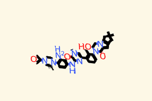 C[C@H]1CN(C2COC2)CCN1c1ccc(Nc2nc(-c3cccc(N4CCn5c(cc6c5CC(C)(C)C6)C4=O)c3CO)cn(C)c2=O)cc1N